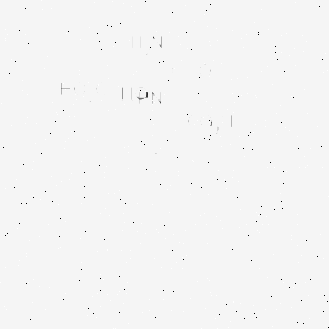 NC(=O)NC(C(=O)O)C(Cc1ccccc1)(CC(O)C(=O)O)c1ccc2ccccc2c1